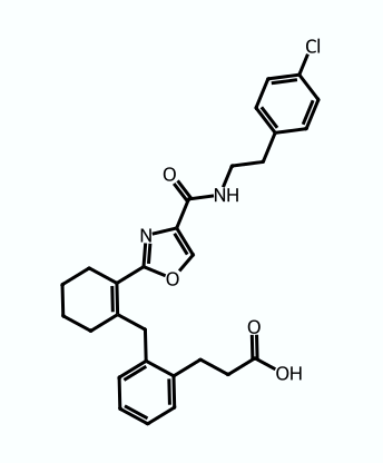 O=C(O)CCc1ccccc1CC1=C(c2nc(C(=O)NCCc3ccc(Cl)cc3)co2)CCCC1